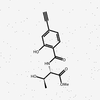 C#Cc1ccc(C(=O)N[C@H](C(=O)OC)[C@@H](C)O)c(O)c1